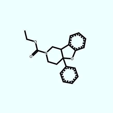 CCOC(=O)N1CCC2(c3ccccc3)Oc3ccccc3C2C1